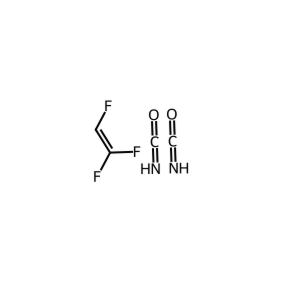 FC=C(F)F.N=C=O.N=C=O